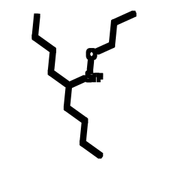 CCCC[CH](CCCC)[Sn][O]CCC